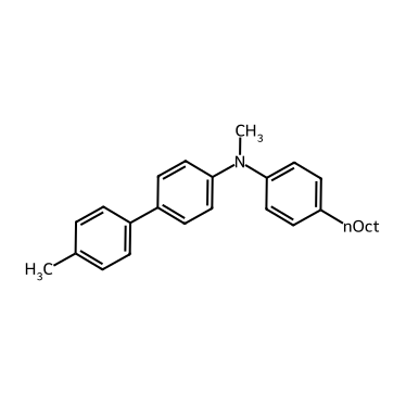 CCCCCCCCc1ccc(N(C)c2ccc(-c3ccc(C)cc3)cc2)cc1